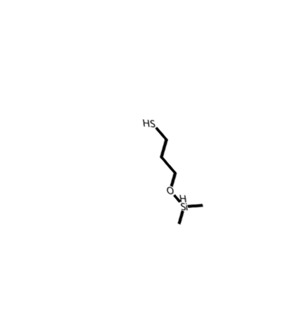 C[SiH](C)OCCCS